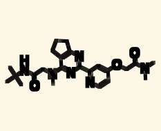 CN(C)C(=O)COc1ccnc(-c2nc3c(c(N(C)CC(=O)NC(C)(C)C)n2)CCC3)c1